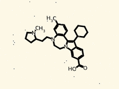 Cc1ccc2c(c1)N(CCC1CCCN1C)CCn1c-2c(C2CCCCC2)c2ccc(C(=O)O)cc21